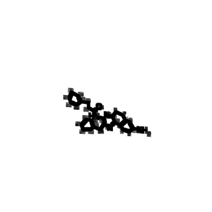 Nc1ccc2c(c1)CCc1nc(NC(=O)CCc3ccccc3)c(Cc3ccccc3)nc1-2